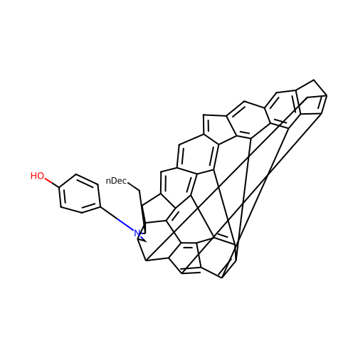 CCCCCCCCCCCC1N(c2ccc(O)cc2)CC2C3CC4=c5c6c7c8c(c9c%10c(cc%11cc%12cc%13cc%14cc(c5c5c%14c%14c%13c%12c%12c%11c%10c8c%12c%14c75)C4)CC921)C63